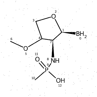 B[C@@H]1OCC(OC)[C@@H]1NP(C)(=O)O